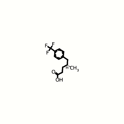 C[C@H](CCC(=O)O)Cc1ccc(C(F)(F)F)cc1